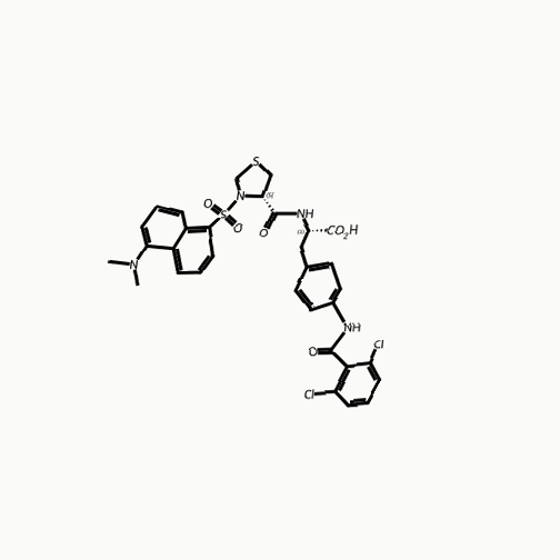 CN(C)c1cccc2c(S(=O)(=O)N3CSC[C@@H]3C(=O)N[C@@H](Cc3ccc(NC(=O)c4c(Cl)cccc4Cl)cc3)C(=O)O)cccc12